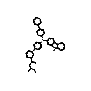 C=C(CC(C)CC)c1cccc(-c2ccc(N(c3ccc(-c4ccccc4)cc3)c3ccc4c(c3)sc3ccccc34)cc2)c1